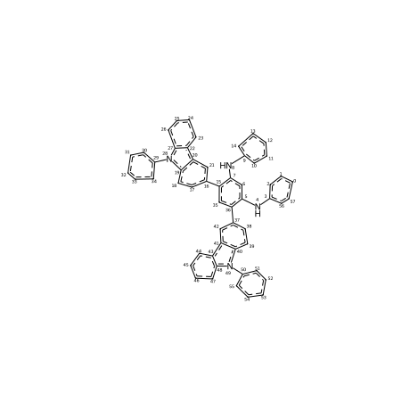 c1ccc(Nc2cc(Nc3ccccc3)c(-c3ccc4c(c3)c3ccccc3n4-c3ccccc3)cc2-c2ccc3c(c2)c2ccccc2n3-c2ccccc2)cc1